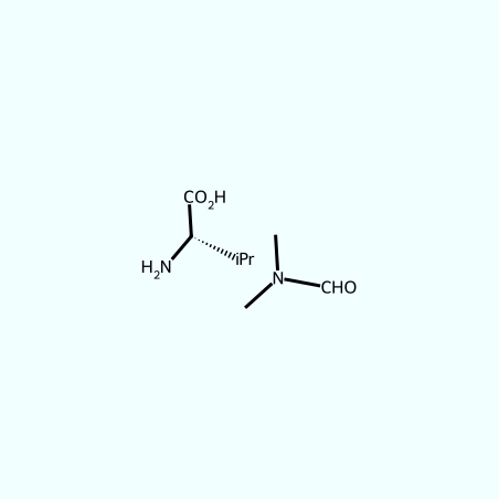 CC(C)[C@H](N)C(=O)O.CN(C)C=O